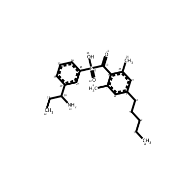 CCCCCc1cc(C)c(C(=O)P(=O)(O)c2cccc(C(N)CC)c2)c(C)c1